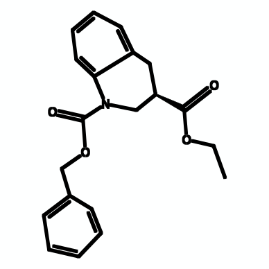 CCOC(=O)[C@@H]1Cc2ccccc2N(C(=O)OCc2ccccc2)C1